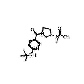 CN(C(=O)O)[C@H]1CCN(C(=O)c2ccc(NC(C)(C)C)nc2)C1